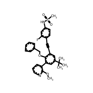 COc1ncccc1-c1cc(C(C)(C)C)cc(C#Cc2ccc(NS(C)(=O)=O)cc2F)c1OCc1ccccc1